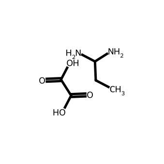 CCC(N)N.O=C(O)C(=O)O